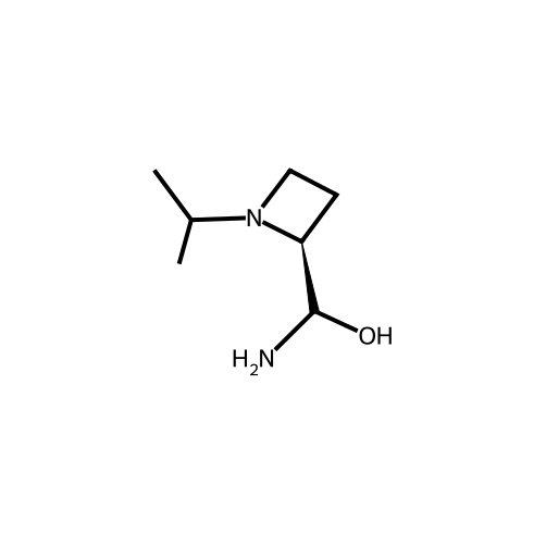 CC(C)N1CC[C@H]1C(N)O